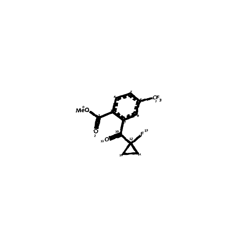 COC(=O)c1ccc(C(F)(F)F)cc1C(=O)C1(F)CC1